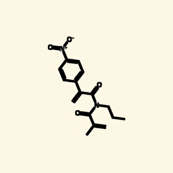 C=C(C)C(=O)N(CCC)C(=O)C(=C)c1ccc([N+](=O)[O-])cc1